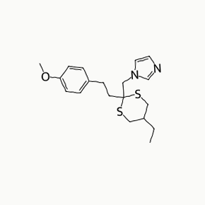 CCC1CSC(CCc2ccc(OC)cc2)(Cn2ccnc2)SC1